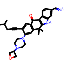 CC(C)CC#Cc1cc2c(cc1N1CCN(C3COC3)CC1)C(C)(C)c1[nH]c3cc(C=N)ccc3c1C2=O